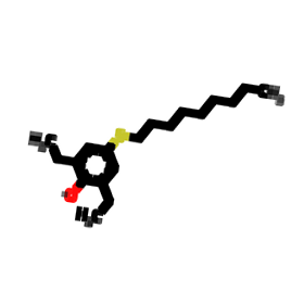 CCCCCCCCCSc1cc(CC)c([O])c(CC)c1